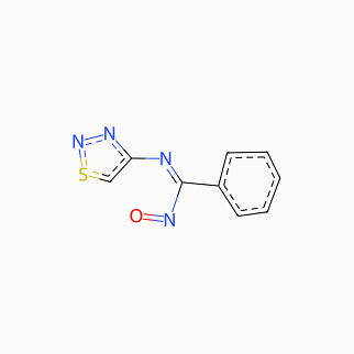 O=NC(=Nc1csnn1)c1ccccc1